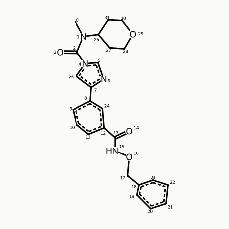 CN(C(=O)n1cnc(-c2cccc(C(=O)NOCc3ccccc3)c2)c1)C1CCOCC1